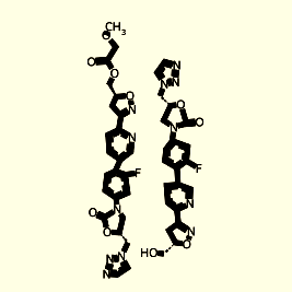 COCC(=O)OC[C@@H]1CC(c2ccc(-c3ccc(N4C[C@H](Cn5ccnn5)OC4=O)cc3F)cn2)=NO1.O=C1O[C@@H](Cn2ccnn2)CN1c1ccc(-c2ccc(C3=NO[C@H](CO)C3)nc2)c(F)c1